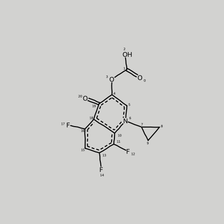 O=C(O)Oc1cn(C2CC2)c2c(F)c(F)cc(F)c2c1=O